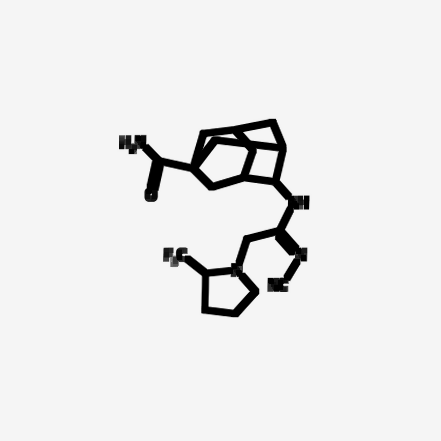 N#C/N=C(\CN1CCCC1C(F)(F)F)NC1C2CC3CC1CC(C(N)=O)(C3)C2